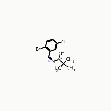 CC(C)(C)[S+]([O-])/N=C\c1cc(Cl)ccc1Br